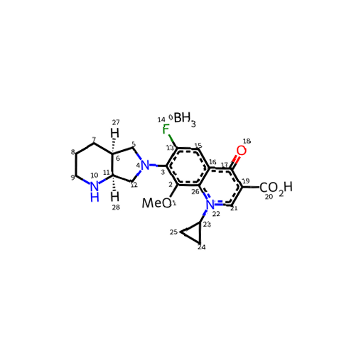 B.COc1c(N2C[C@@H]3CCCN[C@@H]3C2)c(F)cc2c(=O)c(C(=O)O)cn(C3CC3)c12